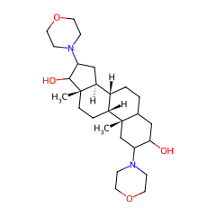 C[C@]12CC(N3CCOCC3)C(O)CC1CC[C@@H]1[C@H]2CC[C@]2(C)C(O)C(N3CCOCC3)C[C@@H]12